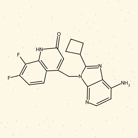 Nc1ccnc2c1nc(C1CCC1)n2Cc1cc(=O)[nH]c2c(F)c(F)ccc12